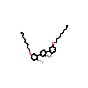 C=CCCCCCCOc1ccc(C(=O)O)c(-c2ccc(-c3cc(OCCCCCCC=C)ccc3C(=O)O)cc2)c1